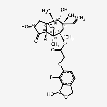 C=C[C@]1(C)C[C@@H](OC(=O)COc2ccc3c(c2F)B(O)OC3)[C@]2(C)[C@H](C)CC[C@]3(C[C@H](O)C(=O)[C@H]32)[C@@H](C)[C@@H]1O